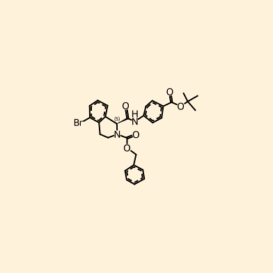 CC(C)(C)OC(=O)c1ccc(NC(=O)[C@@H]2c3cccc(Br)c3CCN2C(=O)OCc2ccccc2)cc1